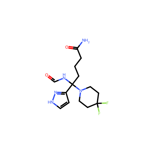 NC(=O)CCCC(NC=O)(c1cc[nH]n1)N1CCC(F)(F)CC1